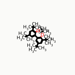 CC(C)(C)c1cc2c(c(C(C)(C)C)c1)O[Si](C)(C)Oc1c-2cc(C(C)(C)C)cc1C(C)(C)C